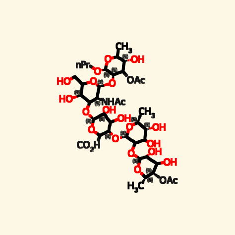 CCCO[C@@H]1OC(C)[C@H](O)C(OC(C)=O)[C@@H]1O[C@@H]1OC(CO)[C@H](O)C(O[C@@H]2OC(C(=O)O)[C@H](O[C@@H]3O[C@@H](C)[C@H](O)C(O)C3O[C@@H]3O[C@@H](C)[C@H](OC(C)=O)C(O)C3O)C(O)[C@@H]2O)[C@@H]1NC(C)=O